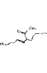 CCCCCCCCCC/C=C/C(CCC(=O)O)C(=O)OC